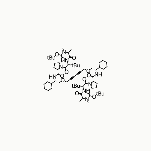 C[C@@H](C(=O)N[C@H](C(=O)N1CCC[C@H]1C(=O)N[C@H](COCC#CC#CCOC[C@@H](NC(=O)[C@@H]1CCCN1C(=O)[C@@H](NC(=O)[C@H](C)N(C)C(=O)OC(C)(C)C)C(C)(C)C)C1CCCCC1)C1CCCCC1)C(C)(C)C)N(C)C(=O)OC(C)(C)C